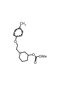 COC(=O)OC1CCCN(CCOc2ccc(C)cc2)C1